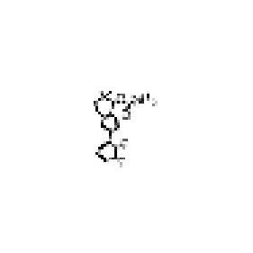 CC1(C)CCc2cc(-c3cccc(F)c3F)ccc2C1OC(N)=O